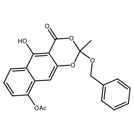 CC(=O)Oc1cccc2c(O)c3c(cc12)OC(C)(OCc1ccccc1)OC3=O